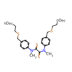 CCCCCCCCCCCCSCc1ccc(N(C)C(=S)C(=S)N(C)c2ccc(CSCCCCCCCCCCCC)cc2)cc1